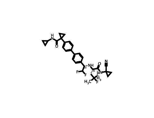 CC(C)(F)C[C@H](N[C@@H](c1ccc(-c2ccc(C3(C(=O)NC4CC4)CC3)cc2)cc1)C(F)F)C(=O)NC1(C#N)CC1